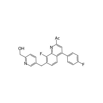 CC(=O)c1cc(-c2ccc(F)cc2)c2ccc(Cc3ccc(CO)nc3)c(F)c2n1